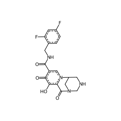 O=C(NCc1ccc(F)cc1F)c1cn2c(c(O)c1=O)C(=O)N1CNCC2C1